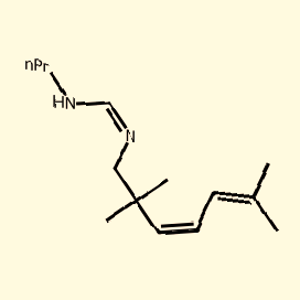 CCCN/C=N\CC(C)(C)/C=C\C=C(C)C